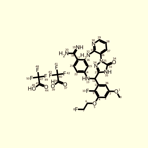 COc1cc(OCCF)c(F)c(C(Nc2ccc(C(=N)N)cc2)c2nn(-c3cccnc3N)c(=O)[nH]2)c1.O=C(O)C(F)(F)F.O=C(O)C(F)(F)F